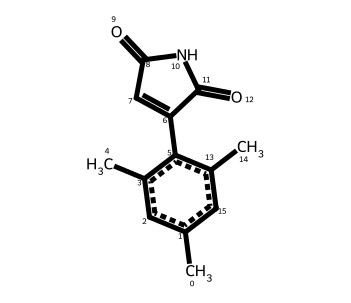 Cc1cc(C)c(C2=CC(=O)NC2=O)c(C)c1